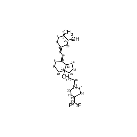 C=C1CC/C(=C/C=C2\CCCC3(C)C2CC[C@@H]3CCN2CCC(C(F)F)CC2)CC1O